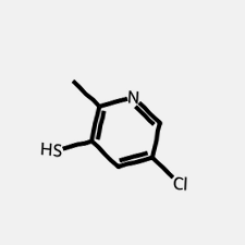 Cc1ncc(Cl)cc1S